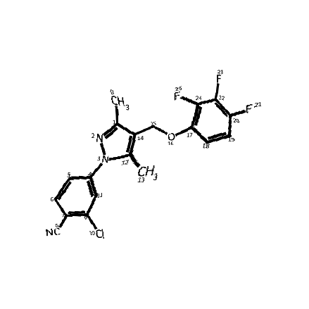 Cc1nn(-c2ccc(C#N)c(Cl)c2)c(C)c1COc1ccc(F)c(F)c1F